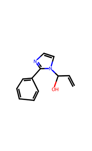 C=CC(O)n1ccnc1-c1ccccc1